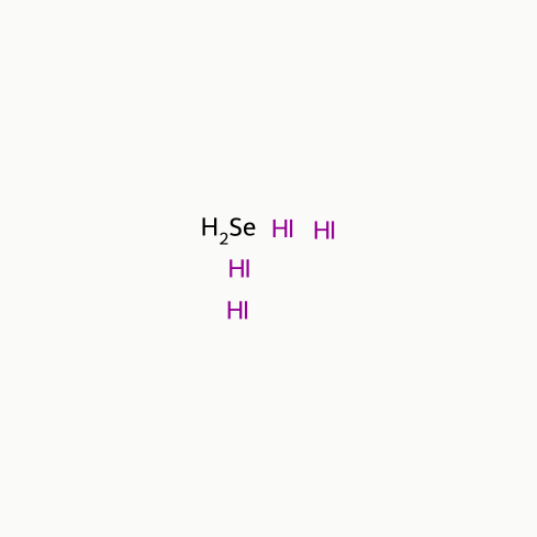 I.I.I.I.[SeH2]